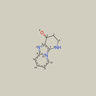 O=C1CCNc2c1nc1ccccn21